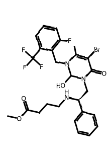 COC(=O)CCCN[C@@H](CN1C(=O)C(Br)=C(C)N(Cc2c(F)cccc2C(F)(F)F)C1O)c1ccccc1